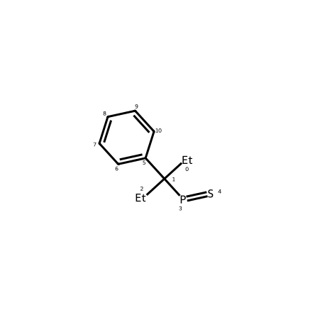 CCC(CC)(P=S)c1ccccc1